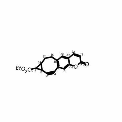 CCOC(=O)C1C2C#Cc3cc4oc(=O)ccc4cc3CCC21